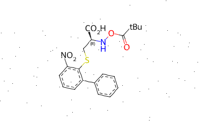 CC(C)(C)C(=O)ON[C@@H](CSc1c(-c2ccccc2)cccc1[N+](=O)[O-])C(=O)O